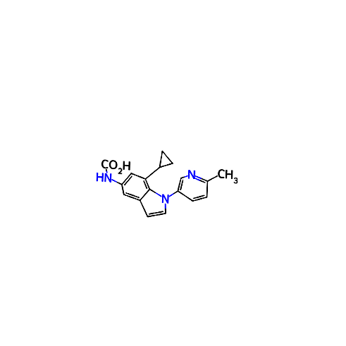 Cc1ccc(-n2ccc3cc(NC(=O)O)cc(C4CC4)c32)cn1